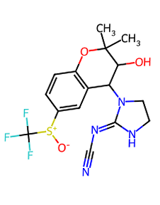 CC1(C)Oc2ccc([S+]([O-])C(F)(F)F)cc2C(N2CCN/C2=N\C#N)C1O